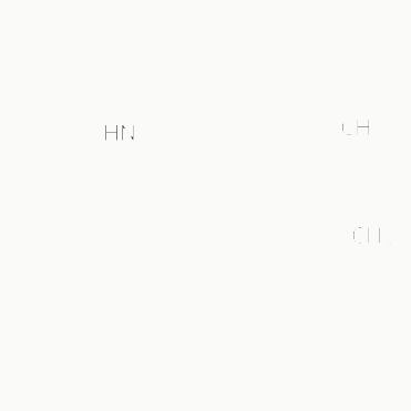 Cc1cc2[nH]c3ccccc3c2cc1C